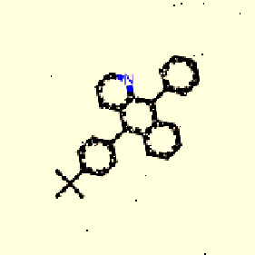 CC(C)(C)c1ccc(-c2c3ccccc3c(-c3ccccc3)c3ncccc23)cc1